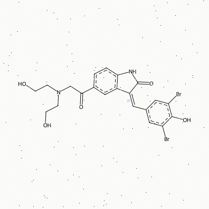 O=C1Nc2ccc(C(=O)CN(CCO)CCO)cc2/C1=C/c1cc(Br)c(O)c(Br)c1